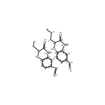 CCC1Oc2ccc(C=O)cc2NC1=O.CCCC1Oc2ccc(C=O)cc2NC1=O